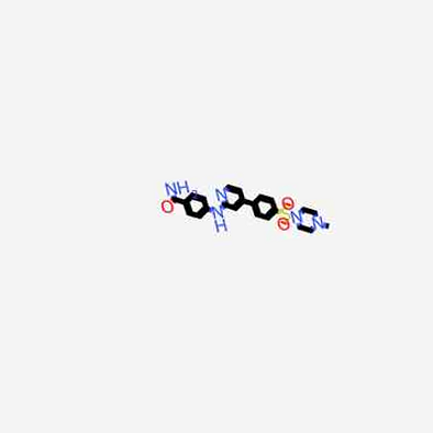 CN1CCN(S(=O)(=O)c2ccc(-c3ccnc(Nc4ccc(C(N)=O)cc4)c3)cc2)CC1